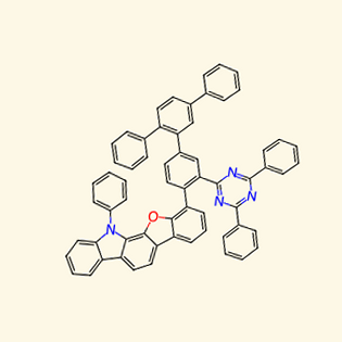 c1ccc(-c2ccc(-c3ccccc3)c(-c3ccc(-c4cccc5c4oc4c5ccc5c6ccccc6n(-c6ccccc6)c54)c(-c4nc(-c5ccccc5)nc(-c5ccccc5)n4)c3)c2)cc1